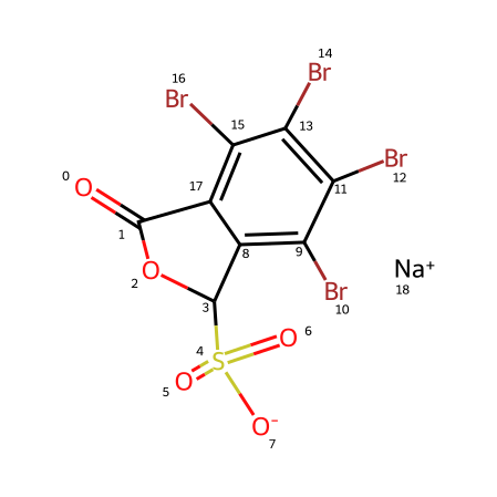 O=C1OC(S(=O)(=O)[O-])c2c(Br)c(Br)c(Br)c(Br)c21.[Na+]